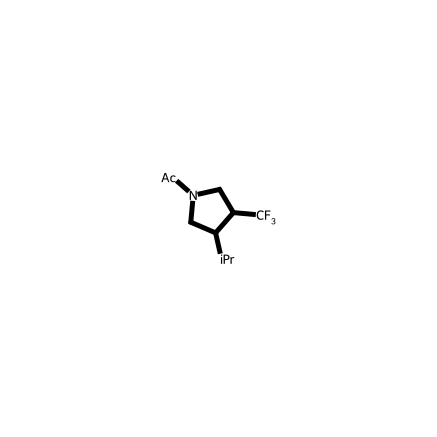 CC(=O)N1CC(C(C)C)C(C(F)(F)F)C1